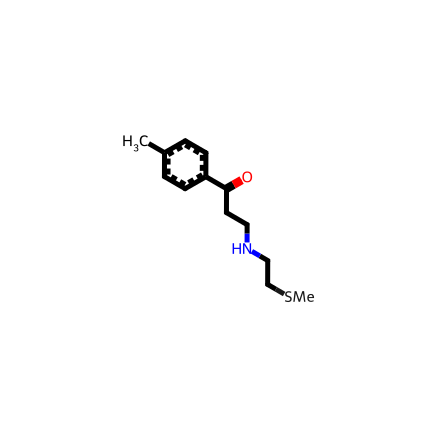 CSCCNCCC(=O)c1ccc(C)cc1